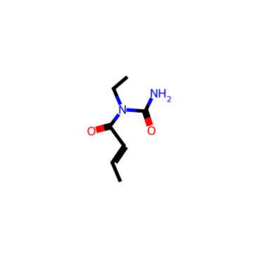 CC=CC(=O)N(CC)C(N)=O